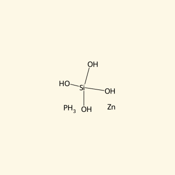 O[Si](O)(O)O.P.[Zn]